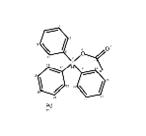 CC(=O)O[PH](c1ccccc1)(c1ccccc1)c1ccccc1.[Pd]